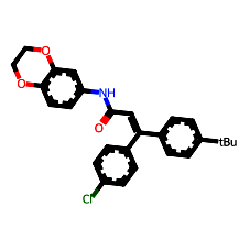 CC(C)(C)c1ccc(/C(=C/C(=O)Nc2ccc3c(c2)OCCO3)c2ccc(Cl)cc2)cc1